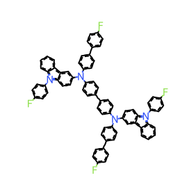 Fc1ccc(-c2ccc(N(c3ccc(-c4ccc(N(c5ccc(-c6ccc(F)cc6)cc5)c5ccc6c(c5)c5ccccc5n6-c5ccc(F)cc5)cc4)cc3)c3ccc4c(c3)c3ccccc3n4-c3ccc(F)cc3)cc2)cc1